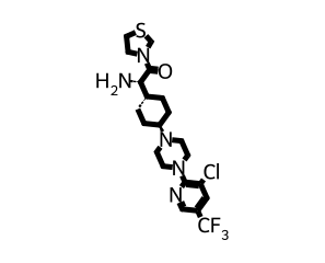 N[C@H](C(=O)N1CCSC1)[C@H]1CC[C@H](N2CCN(c3ncc(C(F)(F)F)cc3Cl)CC2)CC1